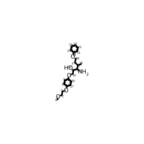 COCCOc1ccc(OCC(O)C(N)C(C)CCOc2ccccc2)cc1